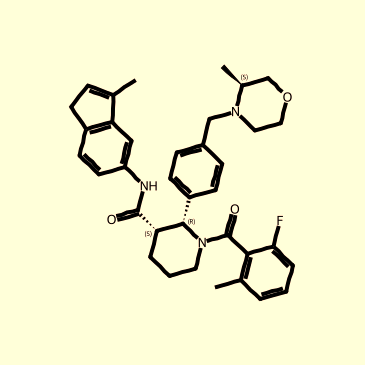 CC1=CCc2ccc(NC(=O)[C@H]3CCCN(C(=O)c4c(C)cccc4F)[C@H]3c3ccc(CN4CCOC[C@@H]4C)cc3)cc21